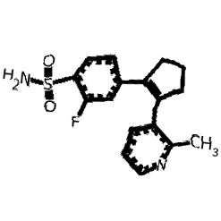 Cc1ncccc1C1=C(c2ccc(S(N)(=O)=O)c(F)c2)CCC1